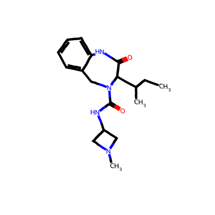 CCC(C)C1C(=O)Nc2ccccc2CN1C(=O)NC1CN(C)C1